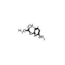 CC(C)Oc1[c]ccc(N)n1